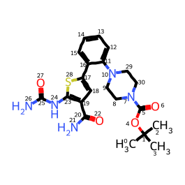 CC(C)(C)OC(=O)N1CCN(c2ccccc2-c2cc(C(N)=O)c(NC(N)=O)s2)CC1